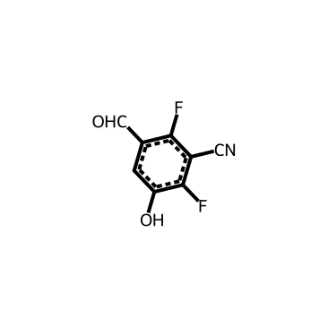 N#Cc1c(F)c(O)cc(C=O)c1F